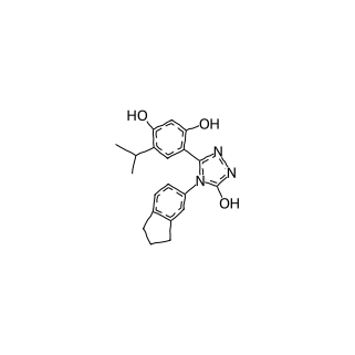 CC(C)c1cc(-c2nnc(O)n2-c2ccc3c(c2)CCC3)c(O)cc1O